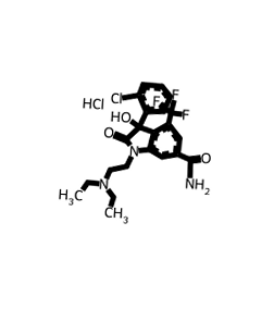 CCN(CC)CCN1C(=O)C(O)(c2ccccc2Cl)c2c1cc(C(N)=O)cc2C(F)(F)F.Cl